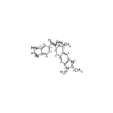 Cc1nc2cc3c(cc2n1C)CC1N(C(=O)c2ccc4nc[nH]c4c2)CCC3(C)C1(C)C